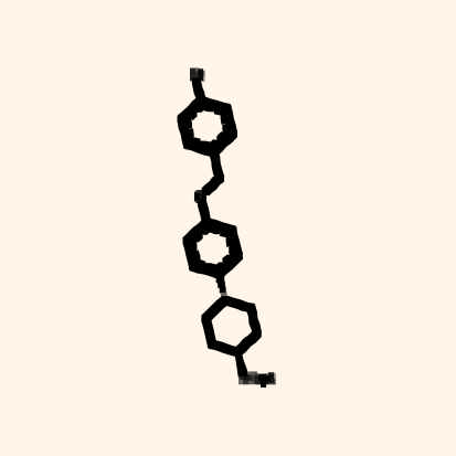 CCCCCCC[C@H]1CC[C@H](c2ccc(OCc3ccc(CC)cc3)cc2)CC1